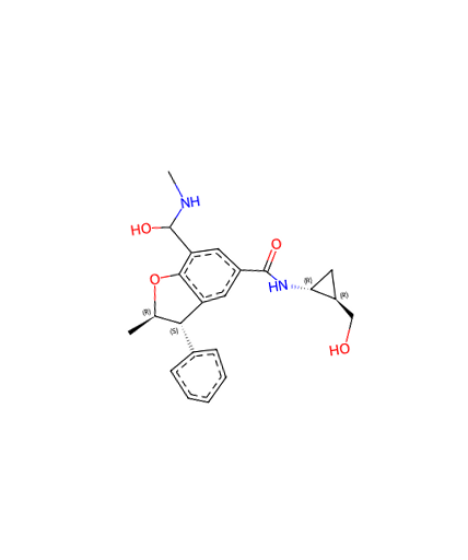 CNC(O)c1cc(C(=O)N[C@@H]2C[C@H]2CO)cc2c1O[C@H](C)[C@H]2c1ccccc1